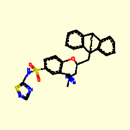 CNCC(CC12CCC(c3ccccc31)c1ccccc12)Oc1ccc(S(=O)(=O)Nc2ncns2)cc1C#N